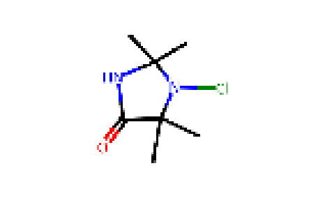 CC1(C)NC(=O)C(C)(C)N1Cl